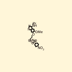 COc1cc2c(NC(C)C)ncnc2cc1OCCCS(C)(=O)=NS(=O)(=O)c1ccc([N+](=O)[O-])cc1